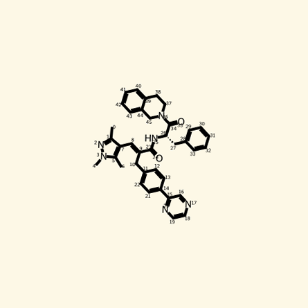 Cc1nn(C)c(C)c1C=C(Cc1ccc(-c2cnccn2)cc1)C(=O)N[C@@H](Cc1ccccc1)C(=O)N1CCc2ccccc2C1